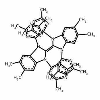 Cc1nc(C)nc(N2C(=C3N(c4nc(C)nc(C)n4)c4cc(C)c(C)cc4N3c3nc(C)nc(C)n3)N(c3nc(C)nc(C)n3)c3cc(C)c(C)cc32)n1